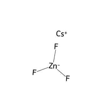 [Cs+].[F][Zn-]([F])[F]